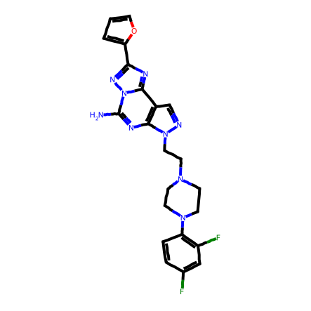 Nc1nc2c(cnn2CCN2CCN(c3ccc(F)cc3F)CC2)c2nc(-c3ccco3)nn12